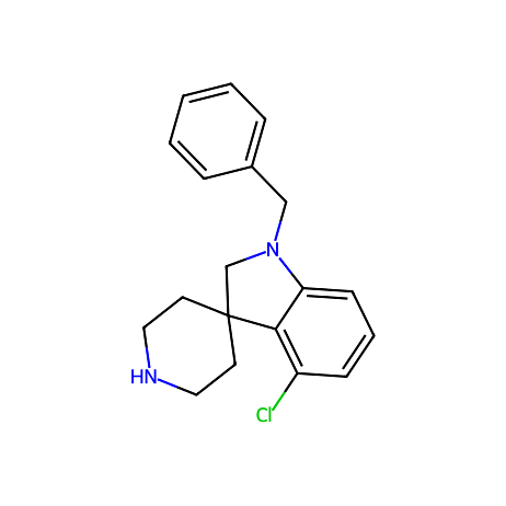 Clc1cccc2c1C1(CCNCC1)CN2Cc1ccccc1